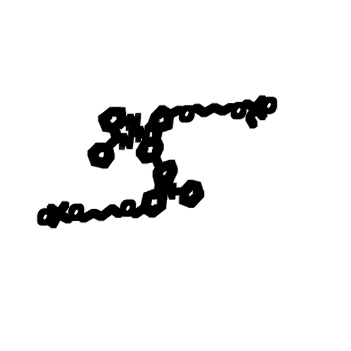 CCC1(COCCCCCOCc2ccc3c(c2)c2cc(-c4ccc5c(c4)c4cc(COCCCCCOCC6(C)COC6)ccc4n5-c4ccccc4)ccc2n3-c2nc(-c3ccccc3)c3ccccc3n2)COC1